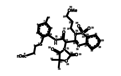 CCCCCCCCCCCCSc1ccc(C)cc1NC(=O)C(C1=Nc2ccccc2S(=O)(=O)N1CCCOC)N1C(=O)OC(C)(C)C1=O